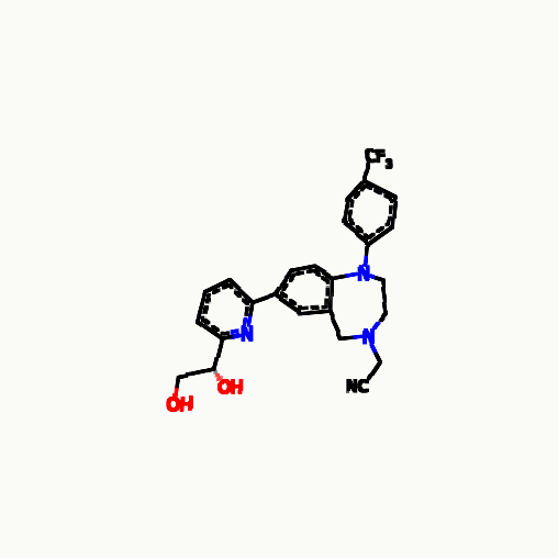 N#CCN1CCN(c2ccc(C(F)(F)F)cc2)c2ccc(-c3cccc([C@H](O)CO)n3)cc2C1